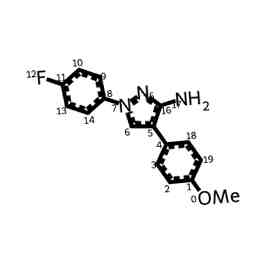 COc1ccc(-c2cn(-c3ccc(F)cc3)nc2N)cc1